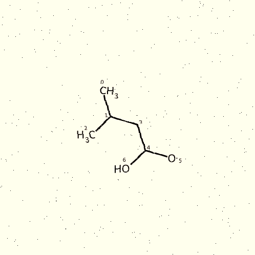 CC(C)CC([O])O